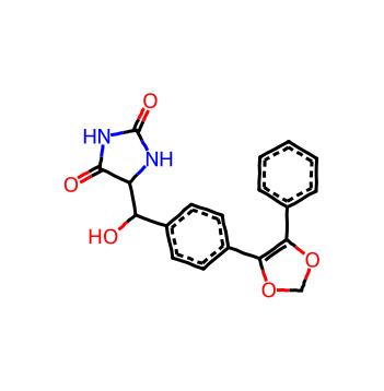 O=C1NC(=O)C(C(O)c2ccc(C3=C(c4ccccc4)OCO3)cc2)N1